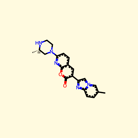 Cc1ccc2nc(-c3cc4ccc(N5CCN[C@@H](C)C5)nc4oc3=O)cn2c1